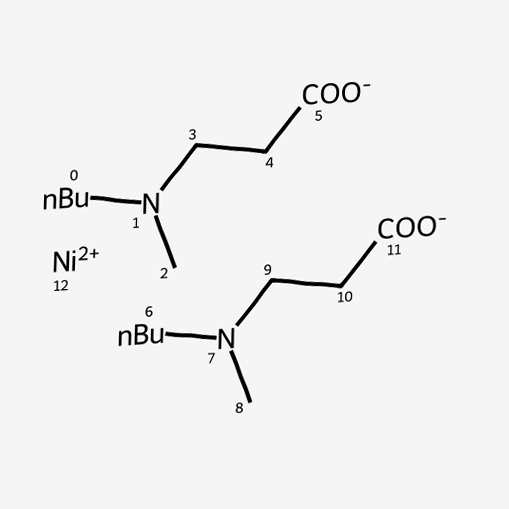 CCCCN(C)CCC(=O)[O-].CCCCN(C)CCC(=O)[O-].[Ni+2]